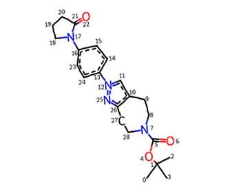 CC(C)(C)OC(=O)N1CCc2cn(-c3ccc(N4CCCC4=O)cc3)nc2CC1